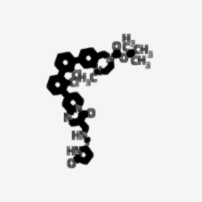 CN1CCN(C(=O)OC(C)(C)C)Cc2ccc(-c3cccc(-c4cccc(-c5ccn6c(=O)c(CNC[C@@H]7CCC(=O)N7)cnc6c5)c4Cl)c3Cl)cc21